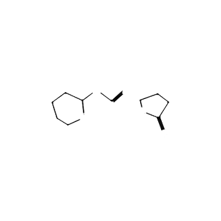 O=C1CC[C@@H](/C=C/OC2CCCCO2)N1